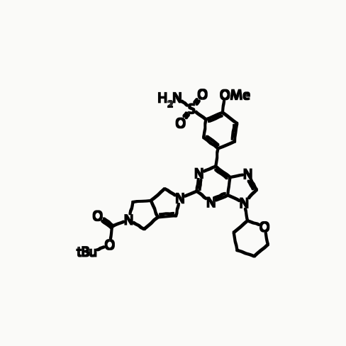 COc1ccc(-c2nc(N3C=C4CN(C(=O)OC(C)(C)C)CC4C3)nc3c2ncn3C2CCCCO2)cc1S(N)(=O)=O